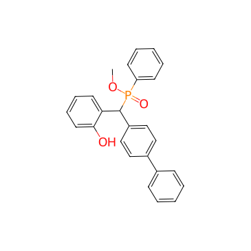 COP(=O)(c1ccccc1)C(c1ccc(-c2ccccc2)cc1)c1ccccc1O